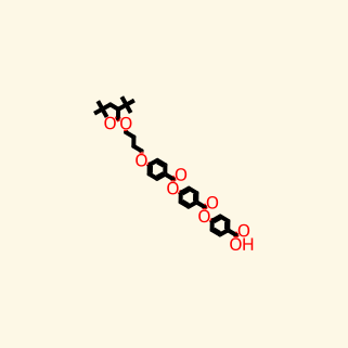 CC(C)(C)CC(C(=O)OCCCCOc1ccc(C(=O)Oc2ccc(C(=O)Oc3ccc(C(=O)O)cc3)cc2)cc1)C(C)(C)C